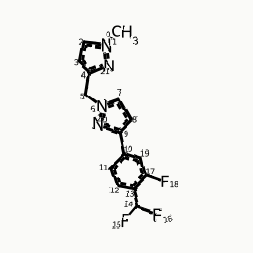 Cn1ccc(Cn2ccc(-c3ccc(C(F)F)c(F)c3)n2)n1